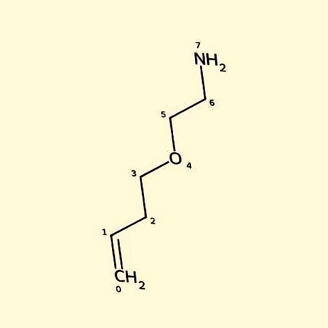 C=CCCOCCN